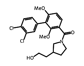 COc1ccc(C(=O)N2CCC(CCO)C2)c(OC)c1-c1ccc(Cl)c(Cl)c1